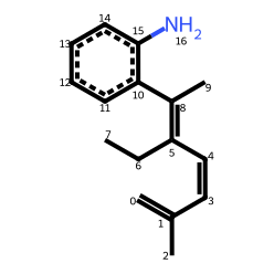 C=C(C)/C=C\C(CC)=C(/C)c1ccccc1N